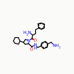 NCc1ccc(CNC(=O)C2CC(C3CCCCC3)CN2C(=O)C(N)CCc2ccccc2)cc1